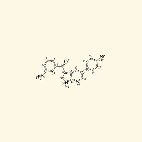 Nc1cccc(C(=O)c2c[nH]c3ncc(-c4ccc(Br)cc4)cc23)c1